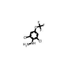 NNc1c(Cl)cc(OC(F)(F)F)cc1Cl